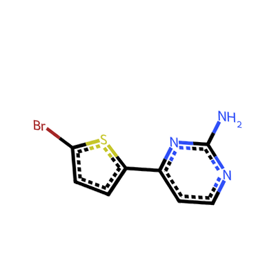 Nc1nccc(-c2ccc(Br)s2)n1